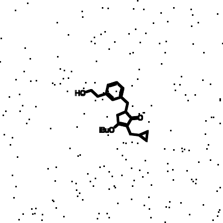 CC(C)COC1=C(CC2CC2)C(=O)C(Cc2cccc(CCO)c2)C1